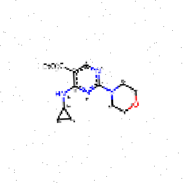 CCOC(=O)c1cnc(N2CCOCC2)nc1NC1CC1